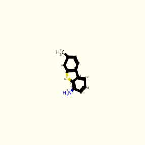 CC1C=Cc2c(sc3c(N)cccc23)C1